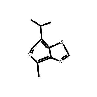 Cc1ncc(C(C)C)c2scnc12